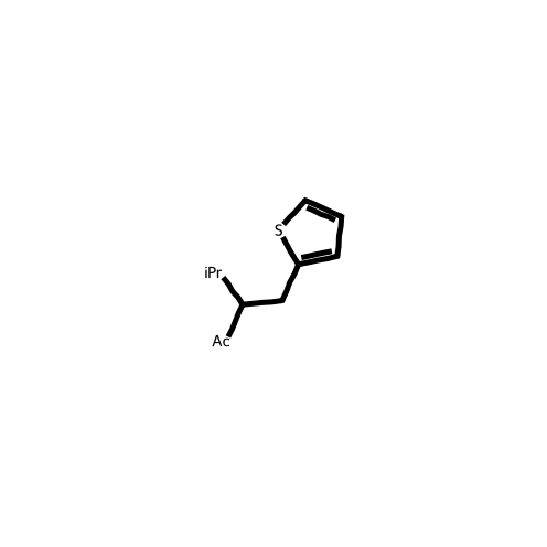 CC(=O)C(Cc1cccs1)C(C)C